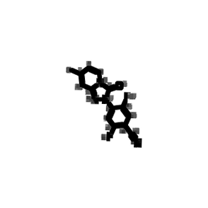 Cc1ccn2c(=O)n(-c3cc(F)c(C#N)cc3F)nc2c1